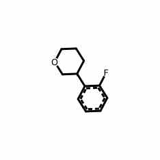 Fc1ccccc1[C]1CCCOC1